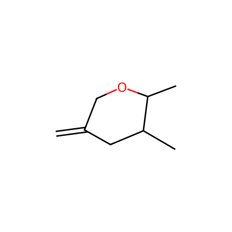 C=C1COC(C)C(C)C1